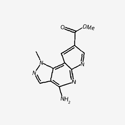 COC(=O)c1cnc2nc(N)c3cnn(C)c3c2c1